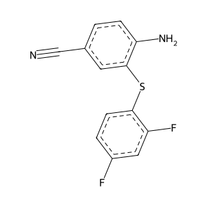 N#Cc1ccc(N)c(Sc2ccc(F)cc2F)c1